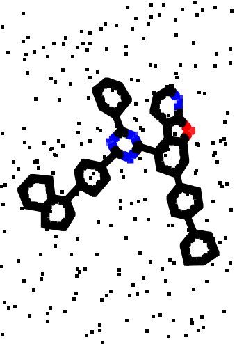 c1ccc(-c2ccc(-c3cc(-c4nc(-c5ccccc5)nc(-c5ccc(-c6cccc7ccccc67)cc5)n4)c4c(c3)oc3ncccc34)cc2)cc1